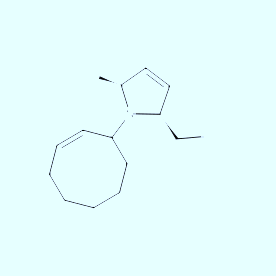 CC[C@@H]1C=C[C@H](C)N1C1/C=C\CCCCC1